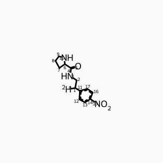 [2H]C(CNC(=O)C1CCCN1)c1ccc([N+](=O)[O-])cc1